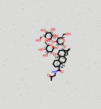 C=C1C[C@@]23CC[C@H]4[C@@](C)(CCC[C@@]4(C)C(=O)NCC(C)=O)[C@@H]2CC[C@]1(O[C@@H]1O[C@H](CO)[C@@H](O)[C@H](O[C@@H]2O[C@H](CO)[C@@H](O)[C@H](O)[C@H]2O)[C@H]1O[C@@H]1O[C@H](CO)[C@@H](O)[C@H](O)[C@H]1O)C3